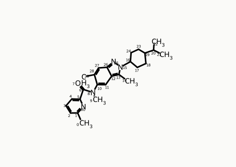 Cc1cccc(C(=O)N(C)c2cc3c(C)n(C4CCC(C(C)C)CC4)nc3cc2C)n1